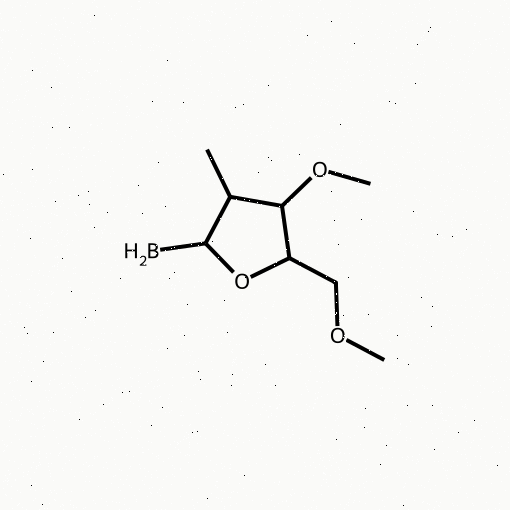 BC1OC(COC)C(OC)C1C